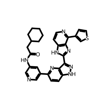 O=C(CC1CCCCC1)Nc1cncc(-c2ccc3[nH]nc(-c4nc5c(-c6ccsc6)nccc5[nH]4)c3n2)c1